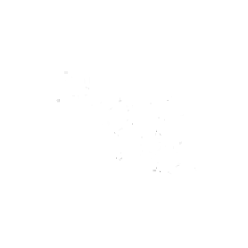 Cc1cnc2c(C#N)c(-c3ccc(S(=O)(=O)NC(C)(C)C(F)(F)F)cn3)n(C3CCC3)c2c1